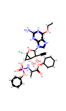 C#C[C@]1(O)[C@H](n2cnc3c(OCC)nc(N)nc32)O[C@]2(F)[C@@H](OP(=O)(NC(C)C(=O)OC3CCCCC3)Oc3ccccc3)[C@]12O